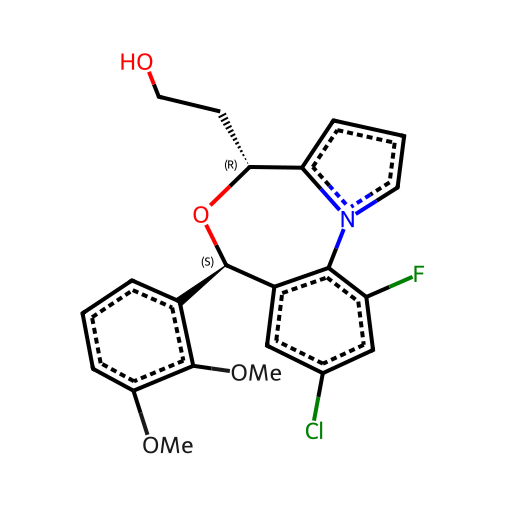 COc1cccc([C@H]2O[C@H](CCO)c3cccn3-c3c(F)cc(Cl)cc32)c1OC